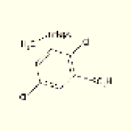 CCCCCCCC.O=S(=O)(O)c1cc(Cl)ccc1Cl